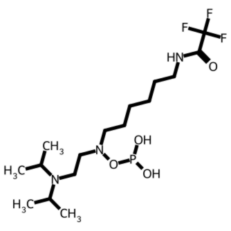 CC(C)N(CCN(CCCCCCNC(=O)C(F)(F)F)OP(O)O)C(C)C